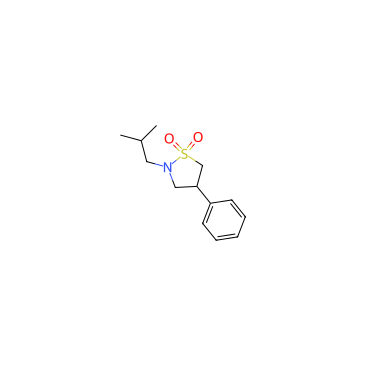 CC(C)CN1CC(c2ccccc2)CS1(=O)=O